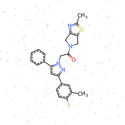 Cc1nc2c(s1)CN(C(=O)Cn1nc(-c3ccc(F)c(C)c3)cc1-c1ccccc1)C2